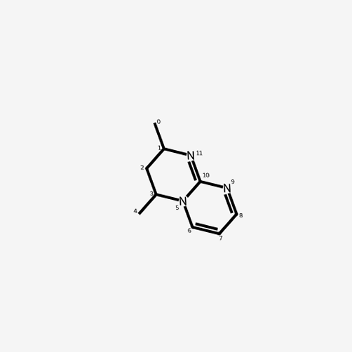 CC1CC(C)N2C=CC=NC2=N1